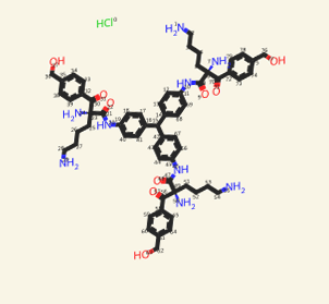 Cl.NCCCC[C@@](N)(C(=O)Nc1ccc(C(c2ccc(NC(=O)[C@](N)(CCCCN)C(=O)c3ccc(CO)cc3)cc2)c2ccc(NC(=O)[C@](N)(CCCCN)C(=O)c3ccc(CO)cc3)cc2)cc1)C(=O)c1ccc(CO)cc1